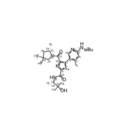 CC[C@@H](C)Nc1cc(C)c(-c2sc(C(=O)N[C@@H](C)C(C)(C)O)nc2C(=O)N2CC(F)(F)C[C@@H]2C)cn1